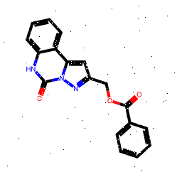 O=C(OCc1cc2c3ccccc3[nH]c(=O)n2n1)c1ccccc1